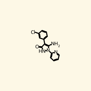 Nc1c(-c2cccc(Cl)c2)c(=O)[nH]n1-c1ccccn1